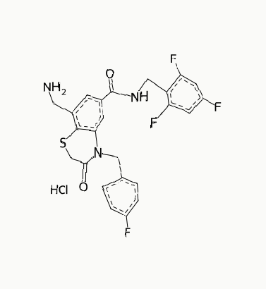 Cl.NCc1cc(C(=O)NCc2c(F)cc(F)cc2F)cc2c1SCC(=O)N2Cc1ccc(F)cc1